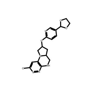 Clc1cc2c(nn1)NCC1CC(Oc3ccc(C4OCCO4)cn3)CN21